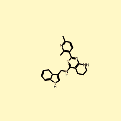 Cc1ccc(-c2nc3c(c(NCC4=CNC5=CC=CCC45)n2)CCCN3)c(C)n1